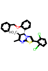 CC1=C(C(=O)O)[C@H](c2ccccc2OCc2ccccc2)N2C=C(c3c(Cl)cccc3Cl)SC2=N1